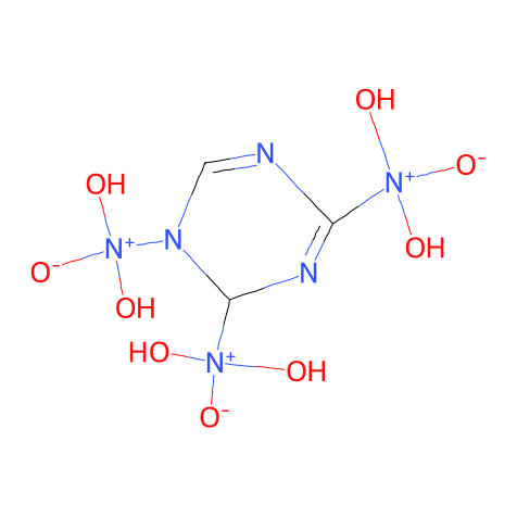 [O-][N+](O)(O)C1=NC([N+]([O-])(O)O)N([N+]([O-])(O)O)C=N1